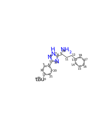 CC(C)(C)c1ccc(-c2n[nH]c([C@H](N)CCc3ccccc3)n2)cc1